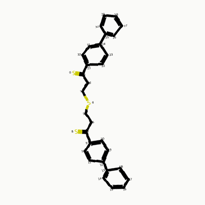 S=C(CCSCCC(=S)c1ccc(-c2ccccc2)cc1)c1ccc(-c2ccccc2)cc1